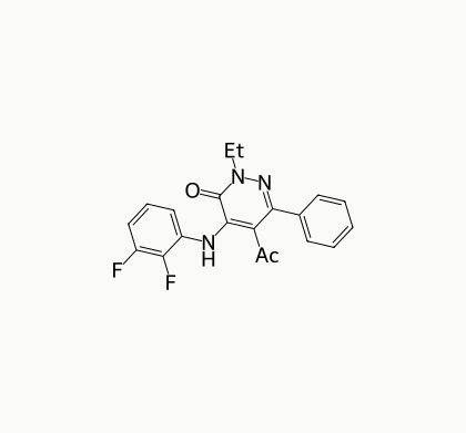 CCn1nc(-c2ccccc2)c(C(C)=O)c(Nc2cccc(F)c2F)c1=O